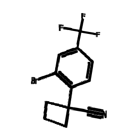 N#CC1(c2ccc(C(F)(F)F)cc2Br)CCC1